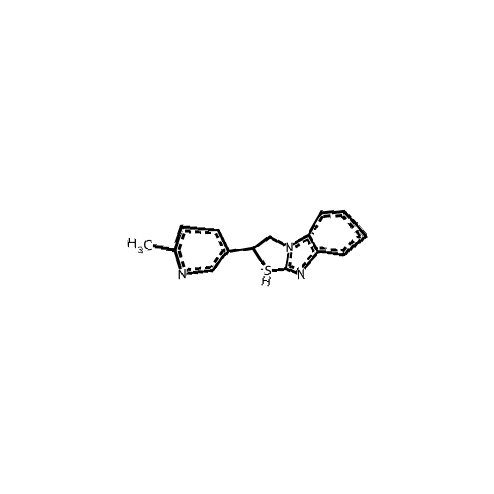 Cc1ccc(C2Cn3c(nc4ccccc43)[SH]2)cn1